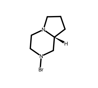 BrN1CCN2CCC[C@@H]2C1